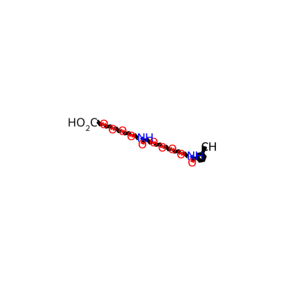 C#Cc1cccc(C(=O)NCCOCCOCCOCCOCCC(=O)NCCOCCOCCOCCOCCC(=O)O)c1